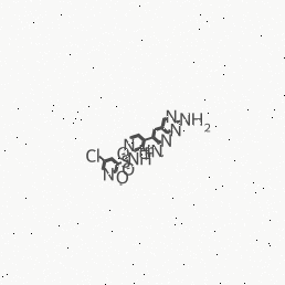 CNc1nc2nc(N)ncc2cc1-c1ccnc(NS(=O)(=O)c2cc(Cl)cnc2OC)c1F